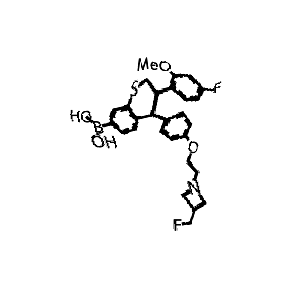 COc1cc(F)ccc1C1CSc2cc(B(O)O)ccc2C1c1ccc(OCCN2CC(CF)C2)cc1